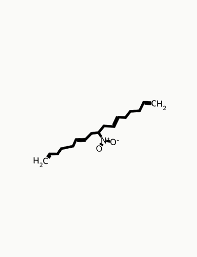 C=CCCC/C=C/CC(C/C=C/CCCC=C)[N+](=O)[O-]